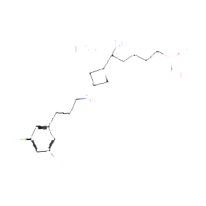 N[C@](CCCCB(O)O)(C(=O)O)[C@H]1C[C@H](NCCCc2cc(F)cc(Cl)c2)C1